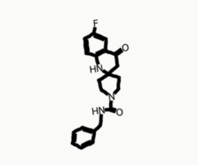 O=C1CC2(CCN(C(=O)NCc3ccccc3)CC2)Nc2ccc(F)cc21